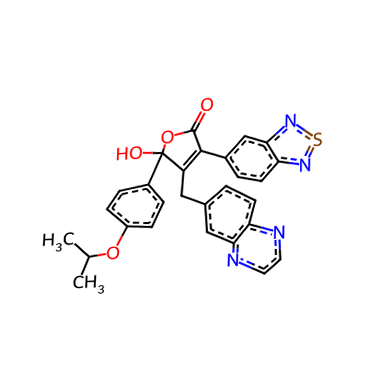 CC(C)Oc1ccc(C2(O)OC(=O)C(c3ccc4nsnc4c3)=C2Cc2ccc3nccnc3c2)cc1